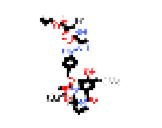 C=CCOC(=O)C(=O)C(NC(=O)C(C)NNc1ccc(COC(=O)N2c3cc(O)c(COC)cc3C(=O)N3C=CC[C@H]3[C@@H]2O[Si](C)(C)C(C)(C)C)cc1)C(C)C